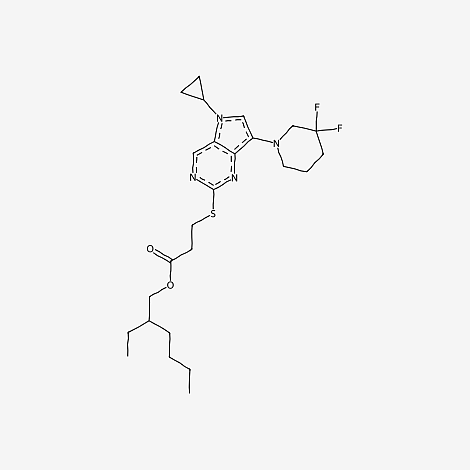 CCCCC(CC)COC(=O)CCSc1ncc2c(n1)c(N1CCCC(F)(F)C1)cn2C1CC1